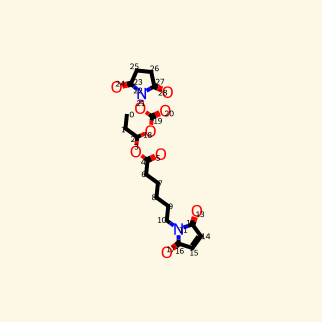 CCC(OC(=O)CCCCCN1C(=O)C=CC1=O)OC(=O)ON1C(=O)CCC1=O